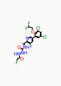 C[C@@H](NC(=O)NNC(=O)CF)c1ncc(-c2cc(Cl)cc(Cl)c2OCC(F)F)cc1F